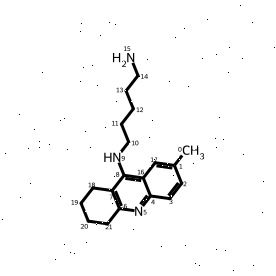 Cc1ccc2nc3c(c(NCCCCCN)c2c1)CCCC3